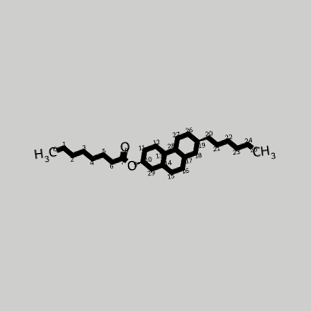 CCCCCCCC(=O)O[C@@H]1CCC2C(CCC3C[C@H](CCCCCC)CCC32)C1